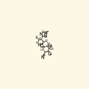 Cn1cnc(-c2c(I)cnc3c2CC[C@H]2C(C)(C)C(=O)C(C#N)C[C@]32C)n1